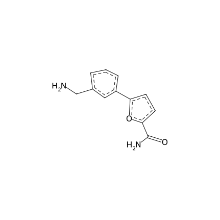 NCc1cccc(-c2ccc(C(N)=O)o2)c1